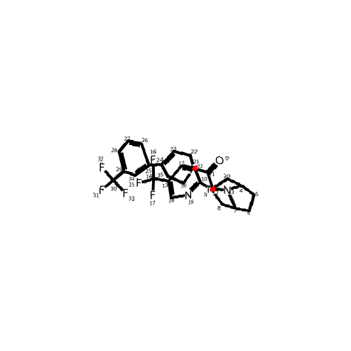 O=C(CN1C2CCC1CN(c1ccc(C(F)(F)F)cn1)C2)N1CC=C(c2cccc(C(F)(F)F)c2)CC1